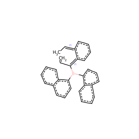 C=C/C(B(c1cccc2ccccc12)c1cccc2ccccc12)=c1/cccc/c1=C/C